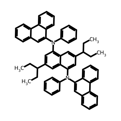 CCC(CC)c1cc(N(c2ccccc2)c2cc3ccccc3c3ccccc23)c2cc(C(CC)CC)cc(N(c3ccccc3)c3cc4ccccc4c4ccccc34)c2c1